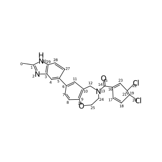 Cc1nc2cc(-c3ccc4c(c3)CN(C(=O)c3ccc(Cl)c(Cl)c3)CCO4)ccc2[nH]1